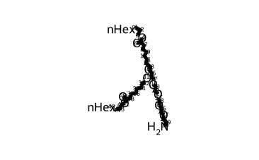 CCCCCC/C=C\COC(=O)CCCCCCCOCC(COCCOCCOCCOCCN)OCCCCCCCC(=O)OC/C=C\CCCCCC